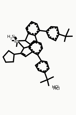 CC1=Cc2c(-c3ccc(C(C)(C)C)cc3)cccc2[CH]1[Zr]([CH3])([CH3])(=[SiH2])[CH]1C(C2CCCC2)=Cc2c(-c3ccc(C(C)(C)C)cc3)cccc21.Cl.Cl